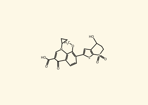 COc1c(-c2cc3c(s2)S(=O)(=O)CCC3O)ccc2c(=O)c(C(=O)O)cn(C3CC3)c12